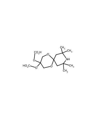 CC1(C)CC2(CC(C)(C)N1)OCC(OC(=O)O)(OC(=O)O)CO2